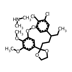 CCC(CCC1(c2cc(OC)c(OC)c(OC)c2)OCCO1)c1ccc(Cl)c(Cl)c1.CNC